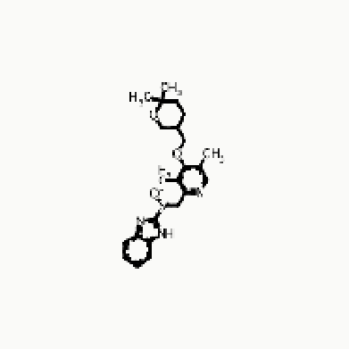 Cc1cnc(C[S+]([O-])c2nc3ccccc3[nH]2)c(C)c1OCC1CCC(C)(C)OC1